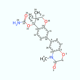 CN1C(=O)COc2ccc(-c3ccc4c(c3)OCC(C)(C)C4OC(N)=O)cc21